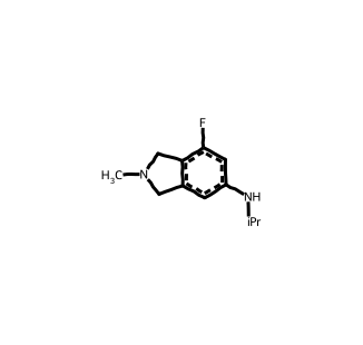 CC(C)Nc1cc(F)c2c(c1)CN(C)C2